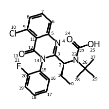 CC[C@@H](c1nc2cccc(Cl)c2c(=O)n1-c1ccccc1F)N(C(=O)O)C(C)(C)C